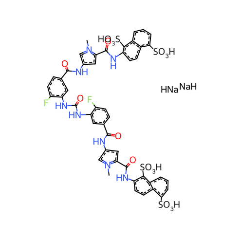 Cn1cc(NC(=O)c2ccc(F)c(NC(=O)Nc3cc(C(=O)Nc4cc(C(=O)Nc5ccc6c(S(=O)(=O)O)cccc6c5S(=O)(=O)O)n(C)c4)ccc3F)c2)cc1C(=O)Nc1ccc2c(S(=O)(=O)O)cccc2c1S(=O)(=O)O.[NaH].[NaH]